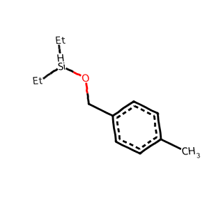 CC[SiH](CC)OCc1ccc(C)cc1